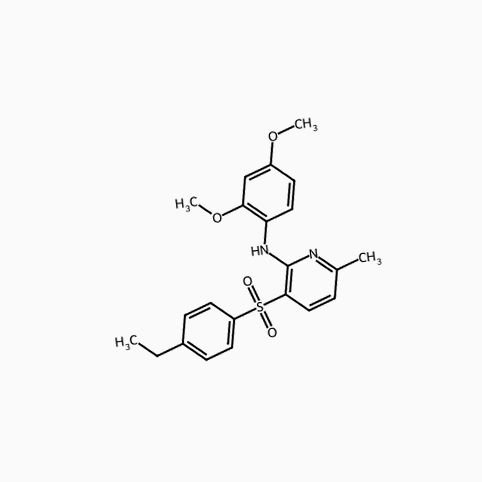 CCc1ccc(S(=O)(=O)c2ccc(C)nc2Nc2ccc(OC)cc2OC)cc1